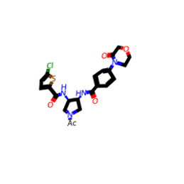 CC(=O)N1C[C@H](NC(=O)c2ccc(N3CCOCC3=O)cc2)[C@H](NC(=O)c2ccc(Cl)s2)C1